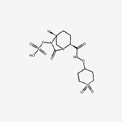 O=C(NOC1CCS(=O)(=O)CC1)[C@@H]1CC[C@@H]2CN1C(=O)N2OS(=O)(=O)O